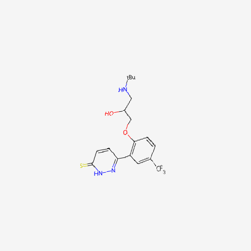 CC(C)(C)NCC(O)COc1ccc(C(F)(F)F)cc1-c1ccc(=S)[nH]n1